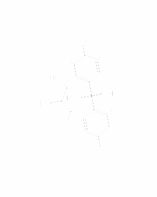 CC(C)(c1ccc(O)cc1)c1ccc(O)cc1.OCC(O)CO